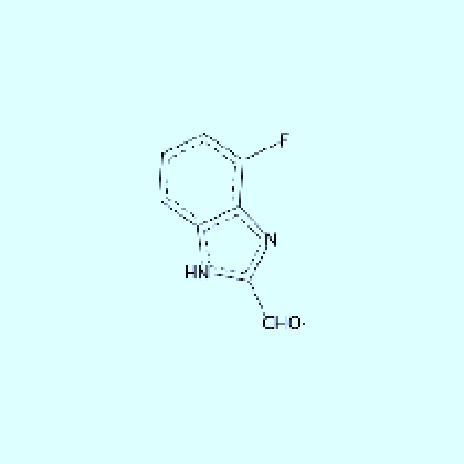 O=[C]c1nc2c(F)cccc2[nH]1